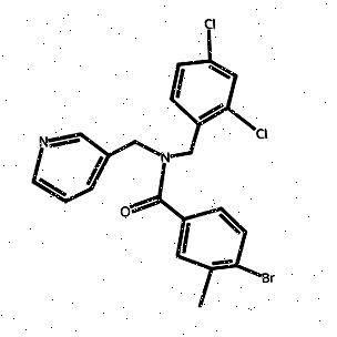 Cc1cc(C(=O)N(Cc2cccnc2)Cc2ccc(Cl)cc2Cl)ccc1Br